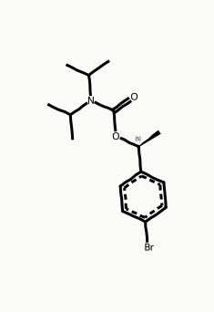 CC(C)N(C(=O)O[C@@H](C)c1ccc(Br)cc1)C(C)C